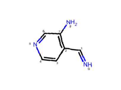 N=Cc1ccncc1N